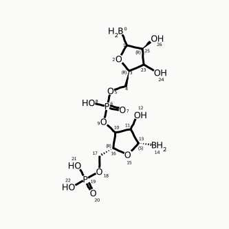 BC1O[C@H](COP(=O)(O)OC2C(O)[C@H](B)O[C@@H]2COP(=O)(O)O)C(O)[C@@H]1O